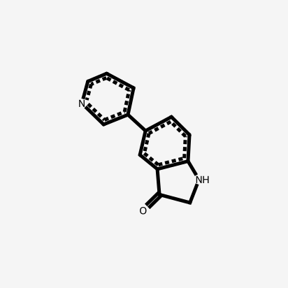 O=C1CNc2ccc(-c3cccnc3)cc21